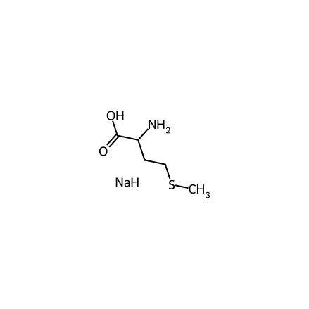 CSCCC(N)C(=O)O.[NaH]